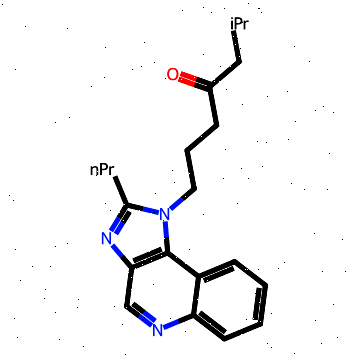 CCCc1nc2cnc3ccccc3c2n1CCCC(=O)CC(C)C